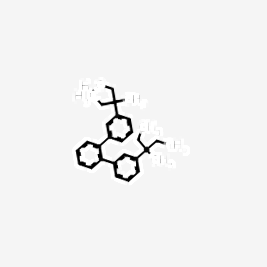 CCC(C)(CC)c1cccc(-c2ccccc2-c2cccc(C(C)(CC)CC)c2)c1